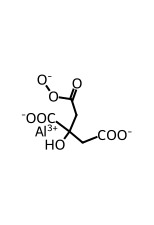 O=C([O-])CC(O)(CC(=O)O[O-])C(=O)[O-].[Al+3]